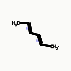 [CH2]/C=[C]/C=C/C